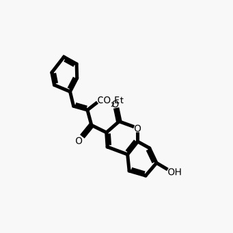 CCOC(=O)/C(=C\c1ccccc1)C(=O)c1cc2ccc(O)cc2oc1=O